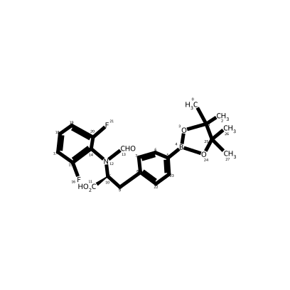 CC1(C)OB(c2ccc(C[C@@H](C(=O)O)N(C=O)c3c(F)cccc3F)cc2)OC1(C)C